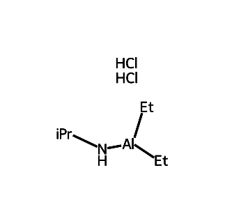 C[CH2][Al]([CH2]C)[NH]C(C)C.Cl.Cl